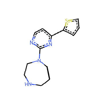 c1csc(-c2ccnc(N3CCCNCC3)n2)c1